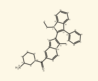 CCn1c(-c2nc3cc(C(=O)N4CCCC(N)C4)ccn3c2C)c(-c2ccccc2)c2ccccc21